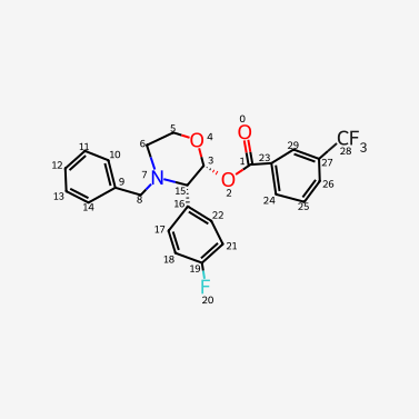 O=C(O[C@H]1OCCN(Cc2ccccc2)[C@H]1c1ccc(F)cc1)c1cccc(C(F)(F)F)c1